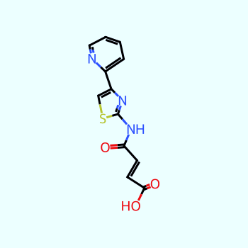 O=C(O)C=CC(=O)Nc1nc(-c2ccccn2)cs1